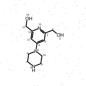 OCc1cc(N2CCNCC2)cc(CO)n1